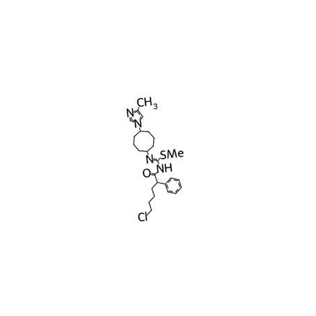 CS/C(=N\C1CCCC(n2cnc(C)c2)CCC1)NC(=O)C(CCCCCl)c1ccccc1